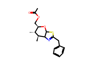 CC(=O)OC[C@H]1OC2SC(Cc3ccccc3)=NC2[C@@H](C)[C@@H]1C